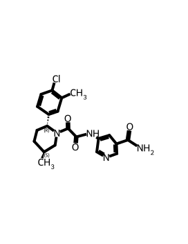 Cc1cc([C@H]2CC[C@H](C)CN2C(=O)C(=O)Nc2cncc(C(N)=O)c2)ccc1Cl